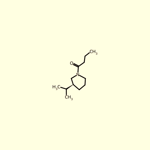 CCCC(=O)N1CCC[C@@H](C(C)C)C1